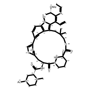 C=C/C(=C(\N=C/C)[C@H](C)OC)c1c2c3cc(ccc3n1CC)-c1csc(n1)C[C@H](NC(=O)[C@H]1CN(C(C)=O)CCN1C)C(=O)N1CCC[C@H](N1)C(=O)OCC(C)(C)C2